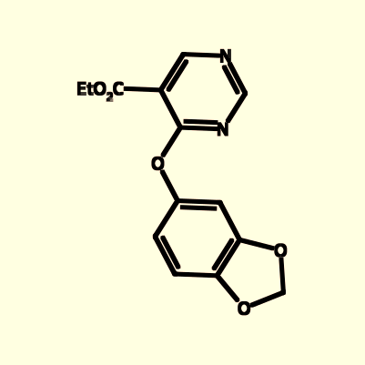 CCOC(=O)c1cncnc1Oc1ccc2c(c1)OCO2